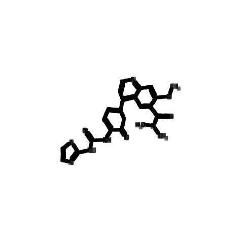 COc1cc2nccc(C3=CC=C(NC(=O)Nc4nccs4)C(=O)C3)c2cc1C(=O)N(C)C